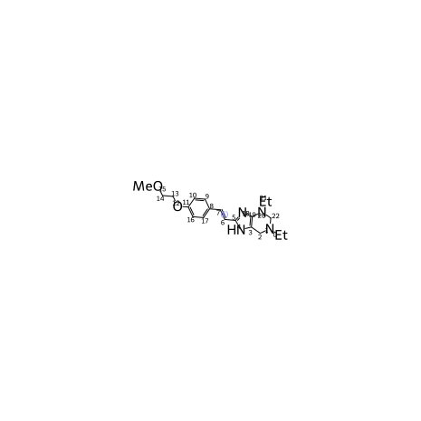 CCN1Cc2[nH]c(/C=C/c3ccc(OCCOC)cc3)nc2N(CC)C1